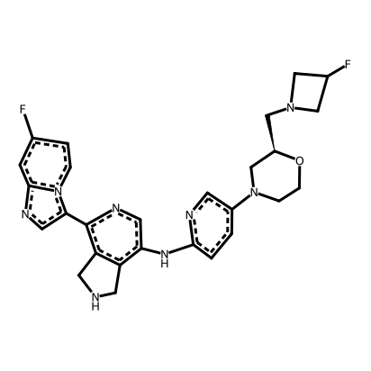 Fc1ccn2c(-c3ncc(Nc4ccc(N5CCO[C@H](CN6CC(F)C6)C5)cn4)c4c3CNC4)cnc2c1